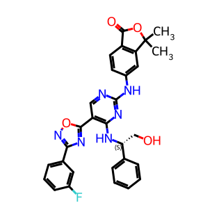 CC1(C)OC(=O)c2ccc(Nc3ncc(-c4nc(-c5cccc(F)c5)no4)c(N[C@H](CO)c4ccccc4)n3)cc21